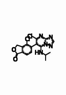 CC(C)Nc1c(-c2ccc3c(c2Cl)COC3=O)c(Cl)nc2ncnn12